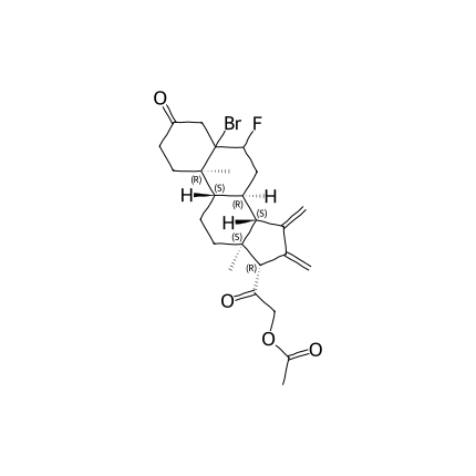 C=C1C(=C)[C@H]2[C@@H]3CC(F)C4(Br)CC(=O)CC[C@]4(C)[C@H]3CC[C@]2(C)[C@H]1C(=O)COC(C)=O